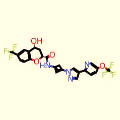 O=C(NC12CC(n3cc(-c4ccc(OC(F)(F)F)cn4)cn3)(C1)C2)[C@H]1C[C@@H](O)c2cc(C(F)(F)F)ccc2O1